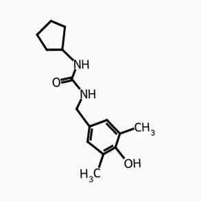 Cc1cc(CNC(=O)NC2CCCC2)cc(C)c1O